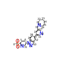 CS(=O)(=O)c1ccc(-n2ncc3cc(-c4cncc(CN5CCCCCC5)c4)ccc32)cn1